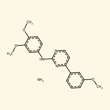 COc1cccc(-c2ccnc(Nc3ccc(OC)c(OC)c3)n2)c1.N